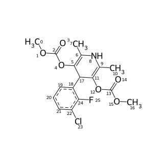 COC(=O)OC1=C(C)NC(C)=C(OC(=O)OC)C1c1cccc(Cl)c1F